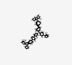 c1ccc(-c2ccc(N(c3ccc(-c4ccc(-c5ccc6c(c5)c5ccccc5n6-c5ccccc5)cc4)cc3)c3ccc(-c4ccc(-n5c6ccccc6c6ccccc65)cc4)cc3)cc2)cc1